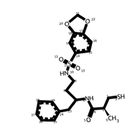 C[C@H](CS)C(=O)NC(CCNS(=O)(=O)c1ccc2c(c1)OCO2)Cc1ccccc1